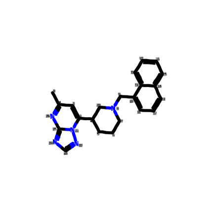 Cc1cc(C2CCCN(Cc3cccc4ccccc34)C2)n2ncnc2n1